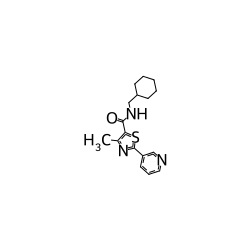 Cc1nc(-c2cccnc2)sc1C(=O)NCC1CCCCC1